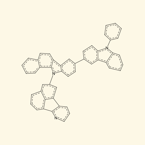 c1ccc(-n2c3ccccc3c3cc(-c4ccc5c(c4)c4ccc6ccccc6c4n5-c4cc5c6c(cccc6c4)-c4ncccc4-5)ccc32)cc1